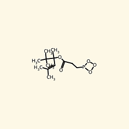 CC(C)=CC(C)(OC(=O)CCP1OOO1)C(C)(C)C